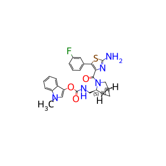 Cn1cc(OC(=O)NC[C@@H]2[C@H]3C[C@H]3CN2C(=O)c2nc(N)sc2-c2cccc(F)c2)c2ccccc21